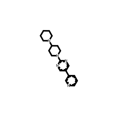 c1cncc(-c2cnc(N3CCC(N4CCCCC4)CC3)nc2)c1